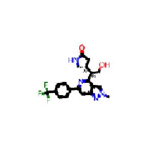 Cn1cc2c([C@H](CO)[C@@H]3CNC(=O)C3)nc(-c3ccc(C(F)(F)F)cc3)cc2n1